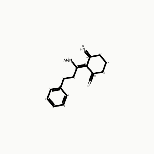 CN/C(CCc1ccccc1)=C1\C(=N)CCCC1=O